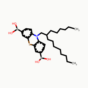 CCCCCCCCC(CCCCCC)CN1c2ccc(B(O)O)cc2Sc2cc(B(O)O)ccc21